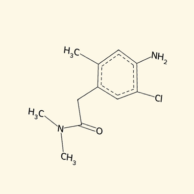 Cc1cc(N)c(Cl)cc1CC(=O)N(C)C